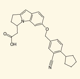 N#Cc1cc(COc2ccc3cc4n(c3c2)C(CC(=O)O)CC4)ccc1C1CCCC1